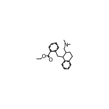 CCOC(=O)c1ccccc1CC1c2ccccc2CCC1CN(C)C